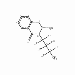 CC(C)(C)C1Cc2ccccc2C(=O)C1C(F)(F)C(F)(F)C(F)(F)C(F)(F)F